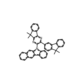 CC1(C)c2ccccc2-c2cc(-c3nc4c(nc3-n3c5ccccc5c5cc6ccccc6cc53)C(C)(C)c3ccccc3-4)ccc21